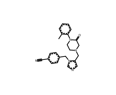 Cc1ccccc1N1CCN(Cc2cncn2Cc2ccc(C#N)cc2)CC1=O